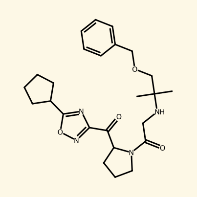 CC(C)(COCc1ccccc1)NCC(=O)N1CCCC1C(=O)c1noc(C2CCCC2)n1